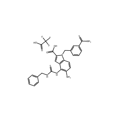 NC(=S)c1cccc(Cn2c(C(=O)O)cc3c(NC(=S)NCc4ccccc4)c(N)ccc32)c1.O=C(O)C(F)(F)F